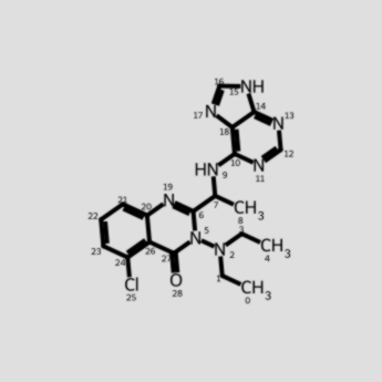 CCN(CC)n1c(C(C)Nc2ncnc3[nH]cnc23)nc2cccc(Cl)c2c1=O